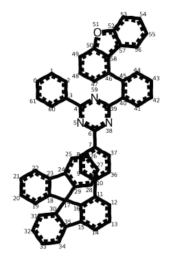 c1ccc(-c2nc(-c3ccc(-c4cccc5c4C4(c6ccccc6-c6ccccc64)c4ccccc4-5)cc3)nc(-c3ccccc3-c3cccc4oc5ccccc5c34)n2)cc1